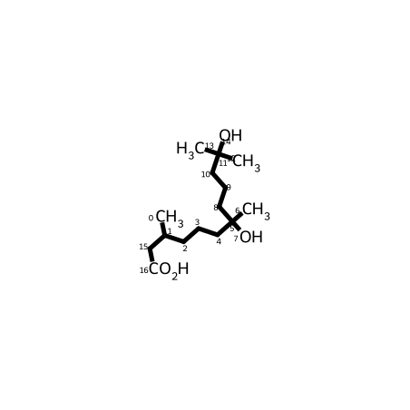 CC(CCCC(C)(O)CCCC(C)(C)O)CC(=O)O